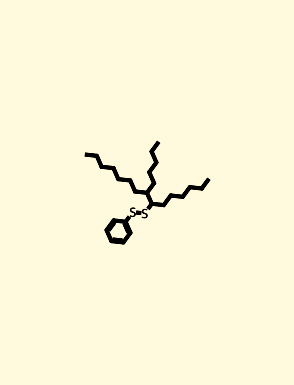 CCCCCCCC(CCCCC)C(CCCCCC)SSc1ccccc1